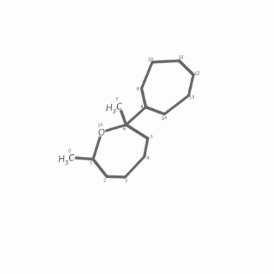 CC1CCCCC(C)(C2CCCCCC2)O1